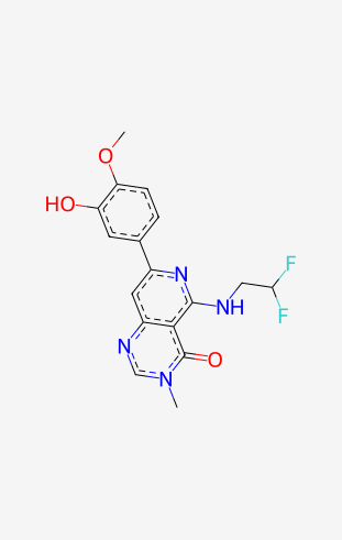 COc1ccc(-c2cc3ncn(C)c(=O)c3c(NCC(F)F)n2)cc1O